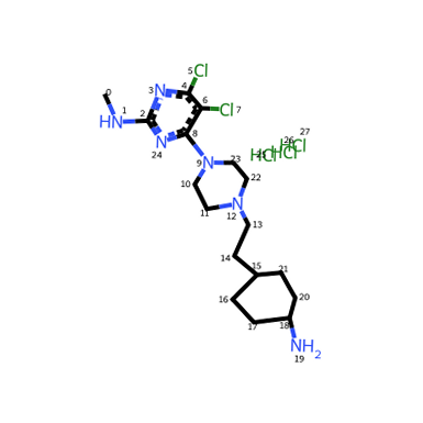 CNc1nc(Cl)c(Cl)c(N2CCN(CCC3CCC(N)CC3)CC2)n1.Cl.Cl.Cl